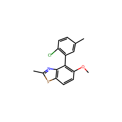 COc1ccc2sc(C)nc2c1-c1cc(C)ccc1Cl